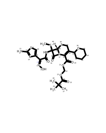 CSC1(NC(=O)/C(=N\O)c2csc(N)n2)C(=O)N2C(C(=O)OCOC(=O)C(C)(C)C)=C(C3CCCCO3)CS[C@H]21